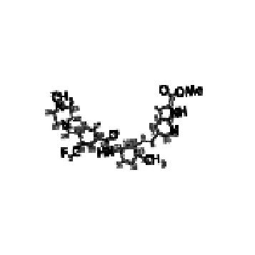 COC(=O)c1cc2cc(CCc3cc(NC(=O)c4ccc(CN5CCN(C)CC5)c(C(F)(F)F)c4)ccc3C)cnc2[nH]1